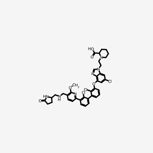 COc1nc(-c2cccc(-c3cccc(Oc4cc(Cl)cc5c4ncn5CCN4CCCCC4C(=O)O)c3Cl)c2Cl)ccc1CNCC1CCC(=O)N1